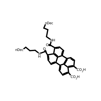 CCCCCCCCCCCCCNC(=O)c1ccc2c3ccc(C(=O)O)c4c(C(=O)O)ccc(c5ccc(C(=O)NCCCCCCCCCCCCC)c1c25)c43